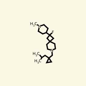 CC(C)CC1(CN2CCC3(CC2)CC(F)(C2CCN(C)CC2)C3)CC1